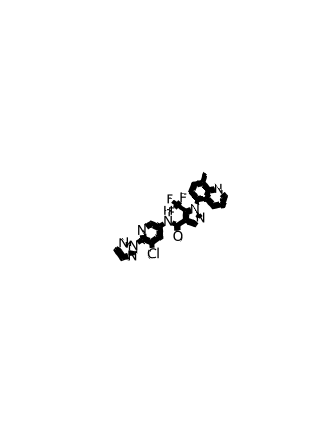 Cc1ccc(-n2ncc(C(=O)Nc3cnc(-n4nccn4)c(Cl)c3)c2C(F)(F)F)c2cccnc12